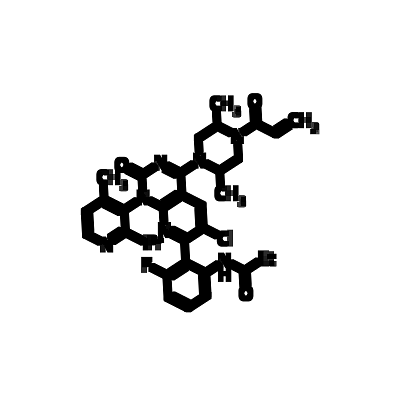 C=CC(=O)N1CC(C)N(c2nc(=O)n(-c3c(C)ccnc3C(C)C)c3nc(-c4c(F)cccc4NC(=O)CC)c(Cl)cc23)CC1C